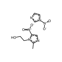 Cc1ncc([N+](=O)[O-])n1CCO.O=[N+]([O-])n1ccnc1